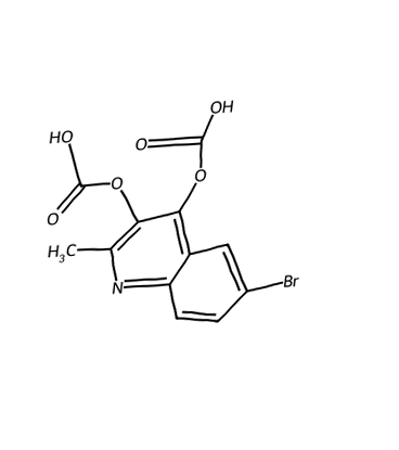 Cc1nc2ccc(Br)cc2c(OC(=O)O)c1OC(=O)O